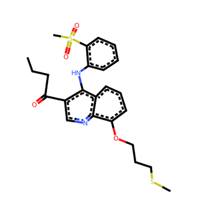 CCCC(=O)c1cnc2c(OCCCSC)cccc2c1Nc1ccccc1S(C)(=O)=O